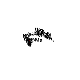 COc1ccc(CN2C3CC2CN(c2ccc(-c4cc(OCCCCCN5C[C@H](NC(=O)[C@H](CCCn6c(N)nc7ccccc76)NC(=O)OC(C)(C)C)C6(CC6)C5)cn5ncc(C#N)c45)cn2)C3)cn1